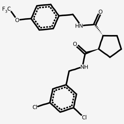 O=C(NCc1ccc(OC(F)(F)F)cc1)[C@@H]1CCC[C@H]1C(=O)NCc1cc(Cl)cc(Cl)c1